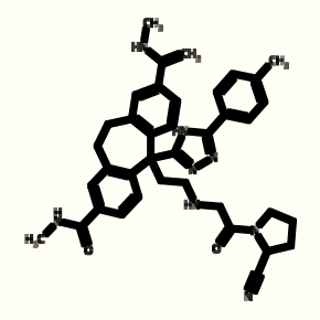 C=C(NC)c1ccc2c(c1)CCc1cc(C(=O)NC)ccc1C2(CCNCC(=O)N1CCCC1C#N)c1nnc(-c2ccc(C)cc2)[nH]1